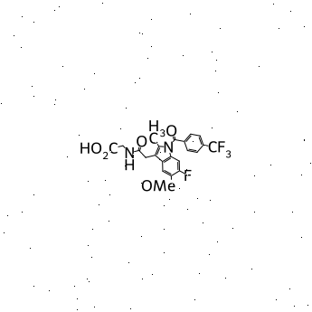 COc1cc2c(CC(=O)NCC(=O)O)c(C)n(C(=O)c3ccc(C(F)(F)F)cc3)c2cc1F